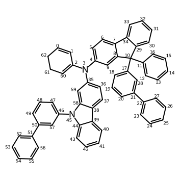 C1=CC(N(c2ccc3c(c2)C(c2ccccc2)(c2cccc(-c4ccccc4)c2)c2ccccc2-3)c2ccc3c4ccccc4n(-c4cccc(-c5ccccc5)c4)c3c2)=CCC1